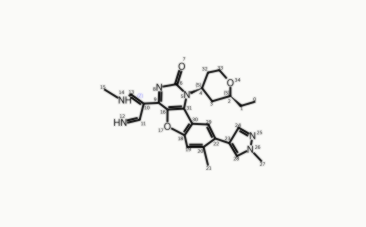 CC[C@H]1C[C@@H](n2c(=O)nc(/C(C=N)=C/NC)c3oc4cc(C)c(-c5cnn(C)c5)cc4c32)CCO1